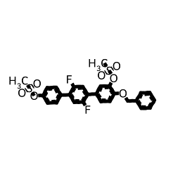 CS(=O)(=O)Oc1ccc(-c2cc(F)c(-c3ccc(OCc4ccccc4)c(OS(C)(=O)=O)c3)cc2F)cc1